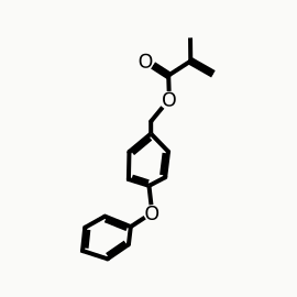 C=C(C)C(=O)OCc1ccc(Oc2ccccc2)cc1